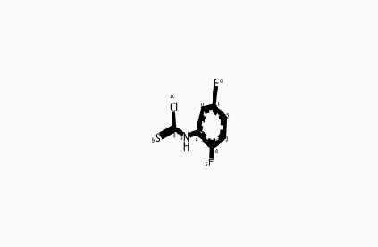 Fc1ccc(F)c(NC(=S)Cl)c1